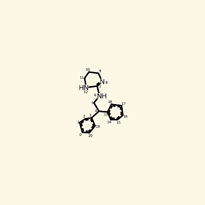 c1ccc(C(CNC2=NCCCN2)c2ccccc2)cc1